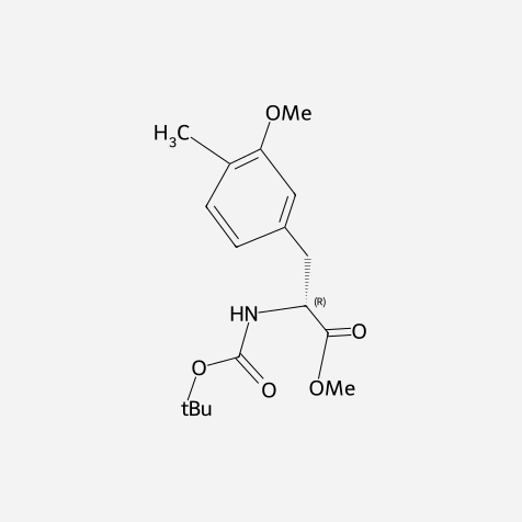 COC(=O)[C@@H](Cc1ccc(C)c(OC)c1)NC(=O)OC(C)(C)C